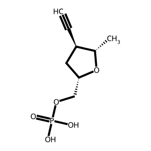 C#C[C@@H]1C[C@@H](COP(=O)(O)O)O[C@H]1C